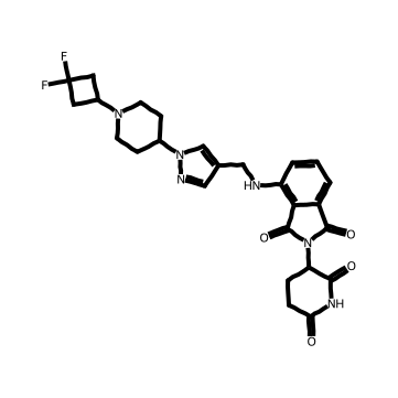 O=C1CCC(N2C(=O)c3cccc(NCc4cnn(C5CCN(C6CC(F)(F)C6)CC5)c4)c3C2=O)C(=O)N1